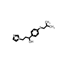 CC(C)CSc1ccc(C(O)CCn2ccnc2)cc1